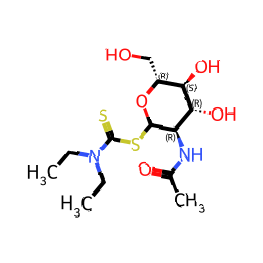 CCN(CC)C(=S)SC1O[C@H](CO)[C@@H](O)[C@H](O)[C@H]1NC(C)=O